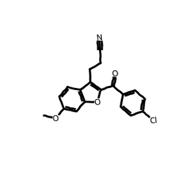 COc1ccc2c(CCC#N)c(C(=O)c3ccc(Cl)cc3)oc2c1